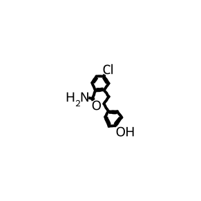 NC(=O)c1ccc(Cl)cc1CCc1ccc(O)cc1